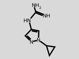 N=C(N)Nc1cnn(C2CC2)c1